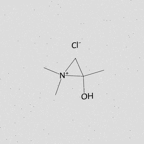 CC1(O)C[N+]1(C)C.[Cl-]